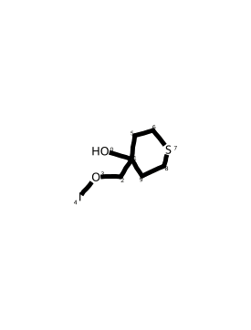 OC1(COI)CCSCC1